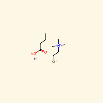 CCCC(=O)O.C[N+](C)(C)CCS.I